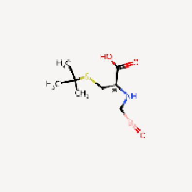 CC(C)(C)SC[C@H](NCB=O)C(=O)O